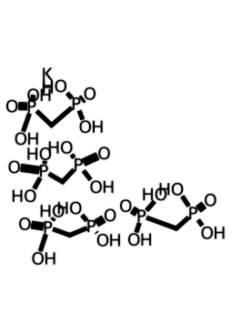 O=P(O)(O)CP(=O)(O)O.O=P(O)(O)CP(=O)(O)O.O=P(O)(O)CP(=O)(O)O.O=P(O)(O)CP(=O)(O)O.[KH]